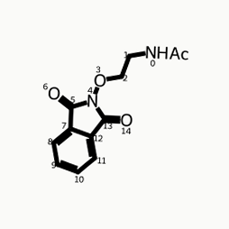 CC(=O)NCCON1C(=O)c2ccccc2C1=O